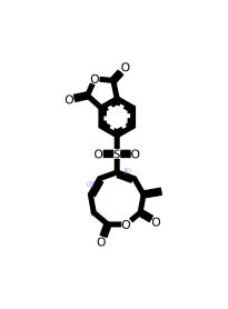 C=C1/C=C(S(=O)(=O)c2ccc3c(c2)C(=O)OC3=O)\C=C/CC(=O)OC1=O